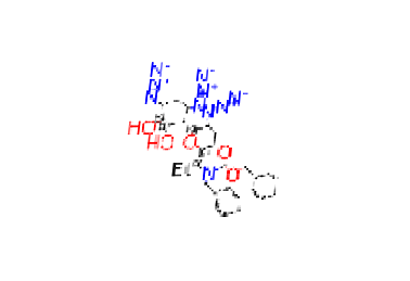 CC[C@H]([C@@H]1CCC(N=[N+]=[N-])[C@@H](C2C(N=[N+]=[N-])CC(N=[N+]=[N-])[C@H](O)[C@H]2O)O1)N(Cc1ccccc1)C(=O)OCc1ccccc1